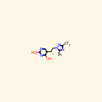 CC(C)c1nc(C(F)(F)F)nn1C[C@H](C)c1cnc(O)nc1O